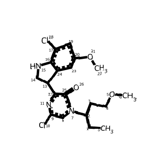 CCC(CCOC)n1cc(Cl)nc(C2CNc3c(Cl)cc(OC)cc32)c1=O